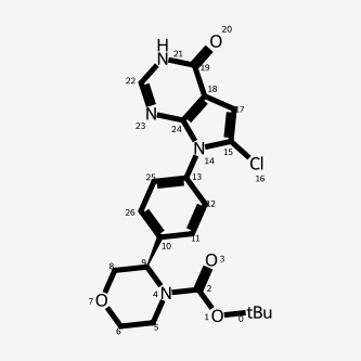 CC(C)(C)OC(=O)N1CCOC[C@H]1c1ccc(-n2c(Cl)cc3c(=O)[nH]cnc32)cc1